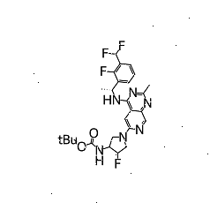 Cc1nc(N[C@H](C)c2cccc(C(F)F)c2F)c2cc(N3CC(F)C(NC(=O)OC(C)(C)C)C3)ncc2n1